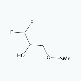 CSOCC(O)C(F)F